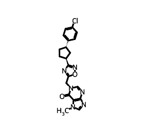 Cn1cnc2ncn(Cc3nc([C@H]4CC[C@H](c5ccc(Cl)cc5)C4)no3)c(=O)c21